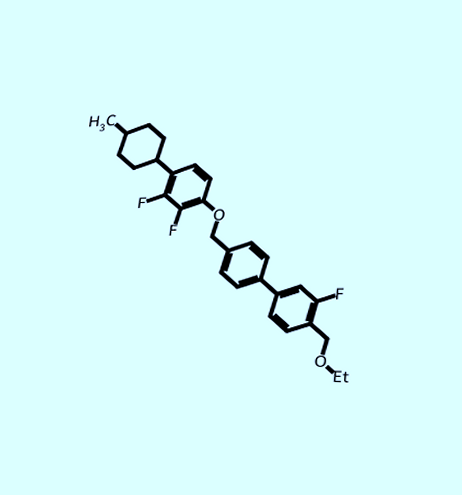 CCOCc1ccc(-c2ccc(COc3ccc(C4CCC(C)CC4)c(F)c3F)cc2)cc1F